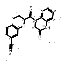 CCC(Oc1cccc(C#N)c1)C(=O)N1CC(=O)Nc2cccnc21